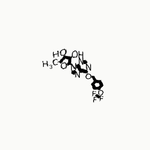 C[C@H]1O[C@@H](n2cnc3c(OCc4ccc(OC(F)(F)F)cc4)ncnc32)[C@H](O)[C@@H]1O